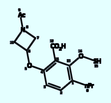 CCCc1ccc(OC2CN(C(C)=O)C2)c(C(=O)O)c1OS